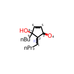 CCC/C=C1/C(=O)C=CC1(O)CCCC